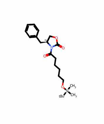 CC(C)(C)[Si](C)(C)OCCCCCC(=O)N1C(=O)OC[C@@H]1Cc1ccccc1